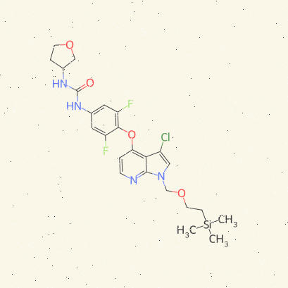 C[Si](C)(C)CCOCn1cc(Cl)c2c(Oc3c(F)cc(NC(=O)NC4CCOC4)cc3F)ccnc21